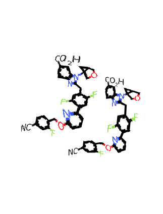 N#Cc1ccc(COc2cccc(-c3cc(F)c(Cc4nc5ccc(C(=O)O)cc5n4C45COCC4C5)cc3F)n2)c(F)c1.N#Cc1ccc(COc2cccc(-c3cc(F)c(Cc4nc5ccc(C(=O)O)cc5n4C45COCC4C5)cc3F)n2)c(F)c1